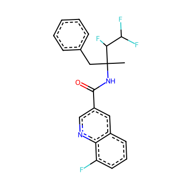 CC(Cc1ccccc1)(NC(=O)c1cnc2c(F)cccc2c1)C(F)C(F)F